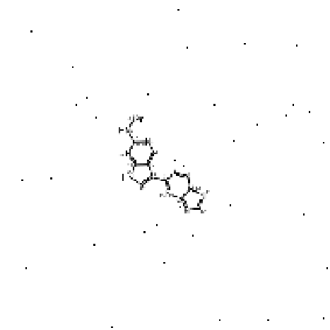 CC(C)Nc1ncc2c(-c3ccn4nccc4n3)c[nH]c2n1